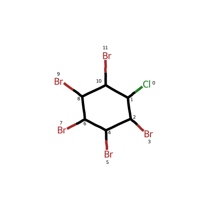 ClC1C(Br)C(Br)C(Br)C(Br)C1Br